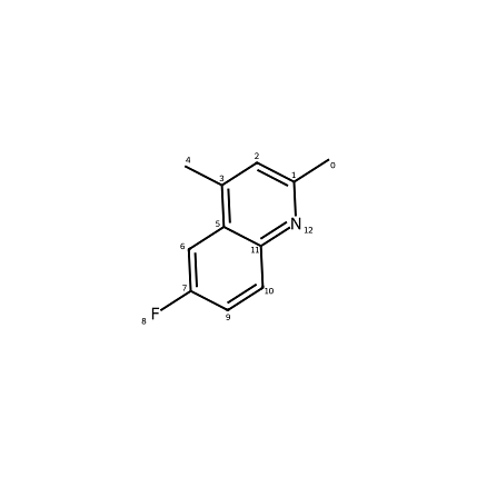 Cc1cc(C)c2cc(F)ccc2n1